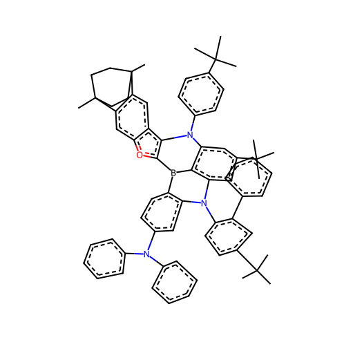 CC(C)(C)c1ccc(N2c3cc(C(C)(C)C)cc4c3B(c3ccc(N(c5ccccc5)c5ccccc5)cc3N4c3ccc(C(C)(C)C)cc3-c3ccccc3)c3oc4cc5c(cc4c32)C2(C)CCC5(C)CC2)cc1